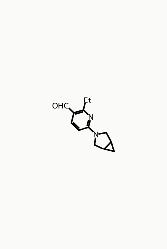 CCc1nc(N2CC3CC3C2)ccc1C=O